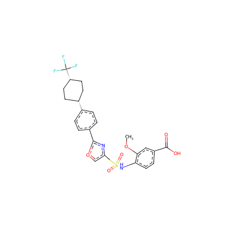 COc1cc(C(=O)O)ccc1NS(=O)(=O)c1coc(-c2ccc([C@H]3CC[C@@H](C(F)(F)F)CC3)cc2)n1